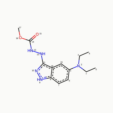 CCN(CC)c1ccc2[nH]nc(NNC(=O)OC)c2c1